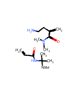 C=C(CCN)C(=O)N(C)C.C=CC(=O)NC(C)(C)NC